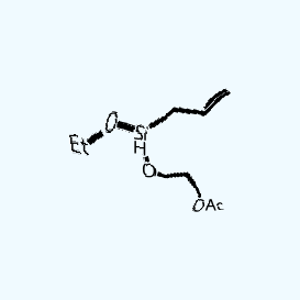 C=CC[SiH](OCC)OCOC(C)=O